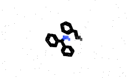 C=Cc1ccccc1.NC(c1ccccc1)c1ccccc1